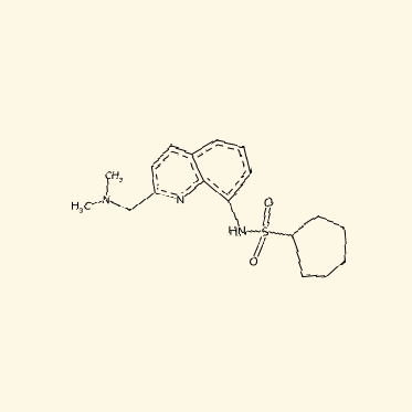 CN(C)Cc1ccc2cccc(NS(=O)(=O)C3CCCCC3)c2n1